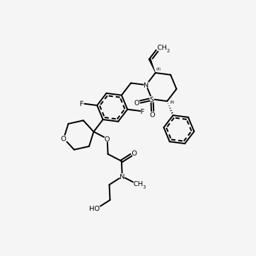 C=C[C@H]1CC[C@H](c2ccccc2)S(=O)(=O)N1Cc1cc(F)c(C2(OCC(=O)N(C)CCO)CCOCC2)cc1F